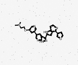 CN(C)CCOc1cncc(-c2cnc3[nH]nc(-c4cc5c(-c6ccoc6)nccc5[nH]4)c3c2)c1